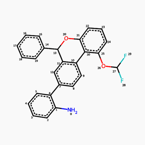 Nc1ccccc1-c1ccc2c(c1)C(c1ccccc1)Oc1cccc(OC(F)F)c1-2